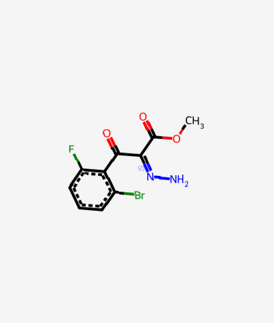 COC(=O)/C(=N\N)C(=O)c1c(F)cccc1Br